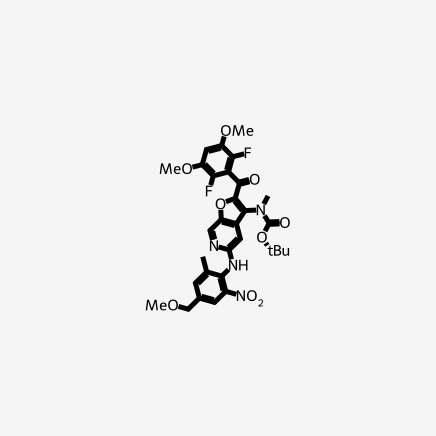 COCc1cc(C)c(Nc2cc3c(N(C)C(=O)OC(C)(C)C)c(C(=O)c4c(F)c(OC)cc(OC)c4F)oc3cn2)c([N+](=O)[O-])c1